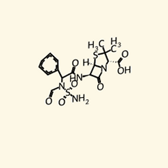 CC1(C)S[C@@H]2[C@H](NC(=O)C(c3ccccc3)N(C=O)S(N)(=O)=O)C(=O)N2[C@H]1C(=O)O